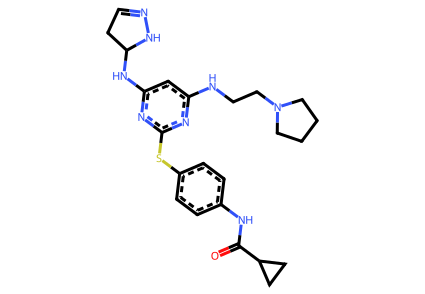 O=C(Nc1ccc(Sc2nc(NCCN3CCCC3)cc(NC3CC=NN3)n2)cc1)C1CC1